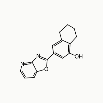 Oc1cc(-c2nc3ncccc3o2)cc2c1CCCC2